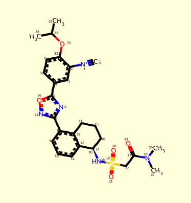 [C-]#[N+]c1cc(-c2nc(-c3cccc4c3CCC[C@H]4NS(=O)(=O)CC(=O)N(C)C)no2)ccc1OC(C)C